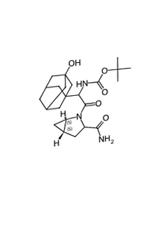 CC(C)(C)OC(=O)NC(C(=O)N1C(C(N)=O)C[C@@H]2C[C@@H]21)C12CC3CC(CC(O)(C3)C1)C2